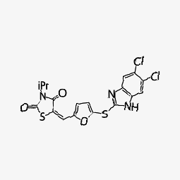 CC(C)N1C(=O)SC(=Cc2ccc(Sc3nc4cc(Cl)c(Cl)cc4[nH]3)o2)C1=O